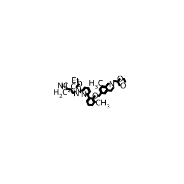 C=C(C#N)C/C=N\N(C(=C)OCC)c1cccc(C2=CCCC(C)=C2OCc2cc(C)c3c(c2)CCN(CC2COCCO2)C3)n1